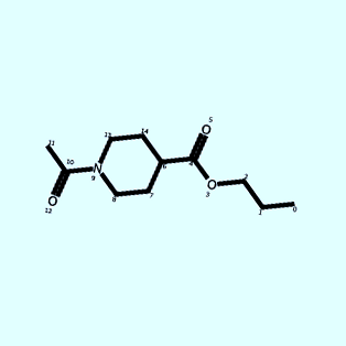 CCCOC(=O)C1CCN(C(C)=O)CC1